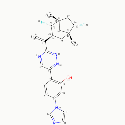 C=C(c1ncc(-c2ccc(-n3ccnc3)cc2O)nn1)[C@@H]1C[C@]2(C)C[C@@](C)(C[C@@H]2F)[C@H]1F